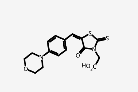 O=C(O)CN1C(=O)/C(=C\c2ccc(N3CCOCC3)cc2)SC1=S